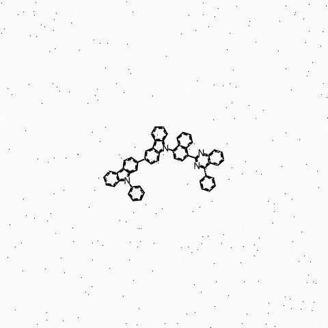 c1ccc(-c2nc(-c3ccc(-n4c5ccccc5c5cc(-c6ccc7c8ccccc8n(-c8ccccc8)c7c6)ccc54)c4ccccc34)nc3ccccc23)cc1